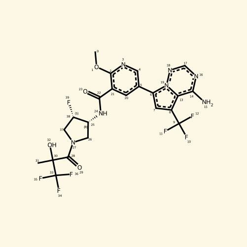 COc1ncc(-c2cc(C(F)(F)F)c3c(N)ncnn23)cc1C(=O)N[C@@H]1CN(C(=O)C(C)(O)C(F)(F)F)C[C@@H]1F